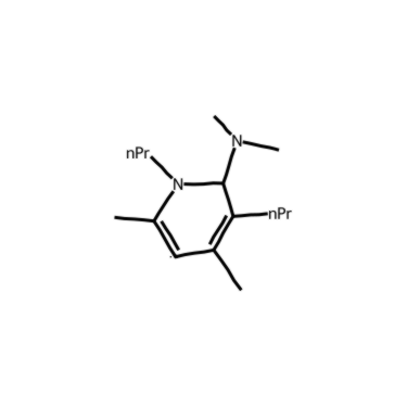 CCCC1=C(C)[C]=C(C)N(CCC)C1N(C)C